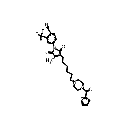 CC1=C(CCCCCCN2CCN(C(=O)c3cccs3)CC2)C(=O)N(c2ccc(C#N)c(C(F)(F)F)c2)C1=O